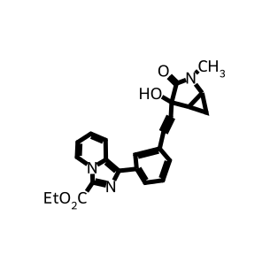 CCOC(=O)c1nc(-c2cccc(C#CC3(O)C(=O)N(C)C4CC43)c2)c2ccccn12